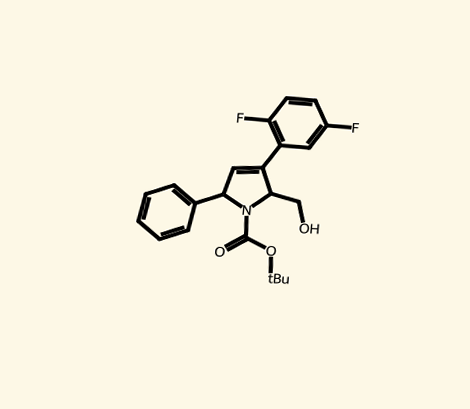 CC(C)(C)OC(=O)N1C(CO)C(c2cc(F)ccc2F)=CC1c1ccccc1